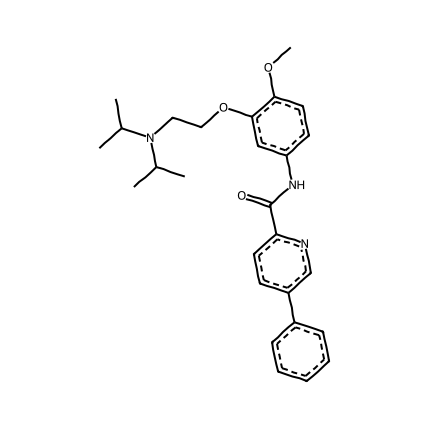 COc1ccc(NC(=O)c2ccc(-c3ccccc3)cn2)cc1OCCN(C(C)C)C(C)C